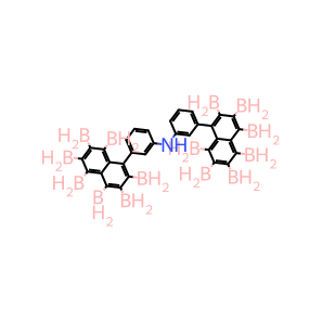 Bc1c(B)c(B)c2c(-c3cccc(Nc4cccc(-c5c(B)c(B)c(B)c6c(B)c(B)c(B)c(B)c56)c4)c3)c(B)c(B)c(B)c2c1B